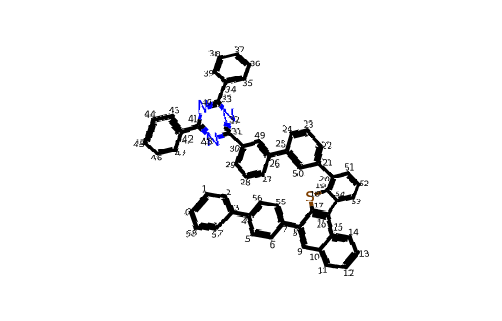 c1ccc(-c2ccc(-c3cc4ccccc4c4c3sc3c(-c5cccc(-c6cccc(-c7nc(-c8ccccc8)nc(-c8ccccc8)n7)c6)c5)cccc34)cc2)cc1